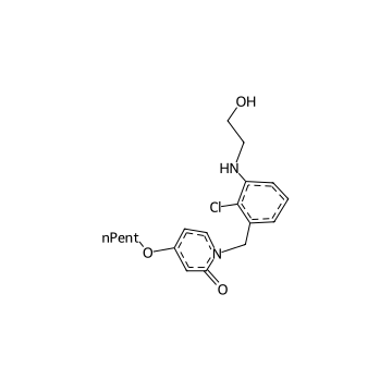 CCCCCOc1ccn(Cc2cccc(NCCO)c2Cl)c(=O)c1